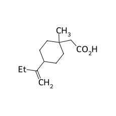 C=C(CC)C1CCC(C)(CC(=O)O)CC1